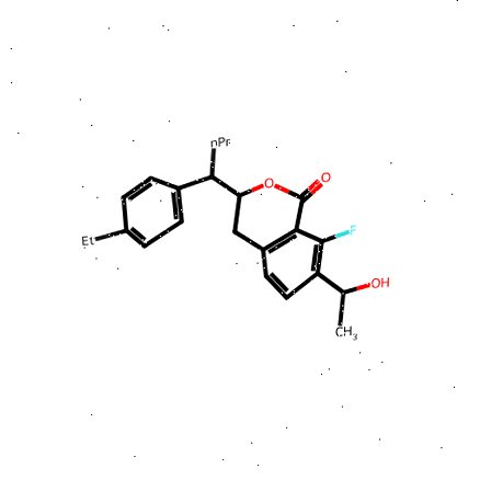 CCCC(c1ccc(CC)cc1)C1Cc2ccc(C(C)O)c(F)c2C(=O)O1